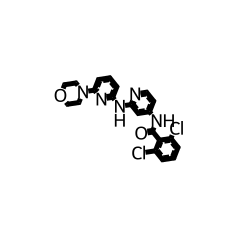 O=C(Nc1ccnc(Nc2cccc(N3CCOCC3)n2)c1)c1c(Cl)cccc1Cl